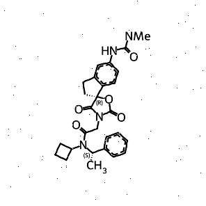 CNC(=O)Nc1ccc2c(c1)CC[C@@]21OC(=O)N(CC(=O)N(C2CCC2)[C@@H](C)c2ccccc2)C1=O